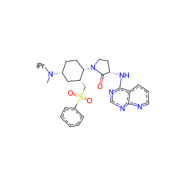 CC(C)N(C)[C@@H]1CC[C@H](N2CC[C@H](Nc3ncnc4ncccc34)C2=O)[C@H](CS(=O)(=O)c2ccccc2)C1